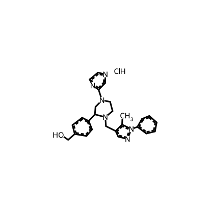 Cc1c(CN2CCN(c3cnccn3)CC2c2ccc(CO)cc2)cnn1-c1ccccc1.Cl